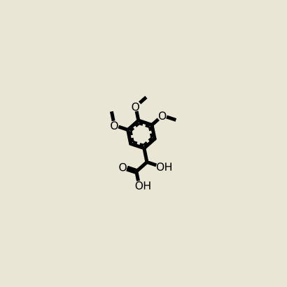 COc1cc(C(O)C(=O)O)cc(OC)c1OC